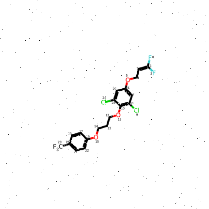 FC(F)=CCOc1cc(Cl)c(OCCCOc2ccc(C(F)(F)F)cc2)c(Cl)c1